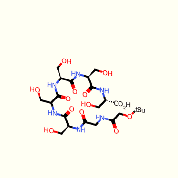 CC(C)(C)OCC(=O)NCC(=O)N[C@@H](CO)C(=O)NC(CO)C(=O)N[C@@H](CO)C(=O)N[C@@H](CO)C(=O)N[C@@H](CO)C(=O)O